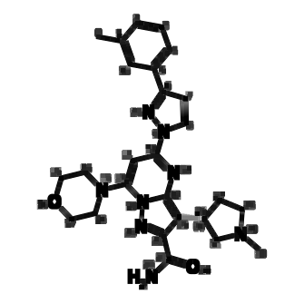 Cc1cccc(-c2ccn(-c3cc(N4CCOCC4)n4nc(C(N)=O)c([C@@H]5CCN(C)C5)c4n3)n2)c1